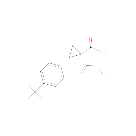 COC(=O)[C@@]1(C(N)=O)C[C@H]1c1ccc(C(F)(F)F)cc1